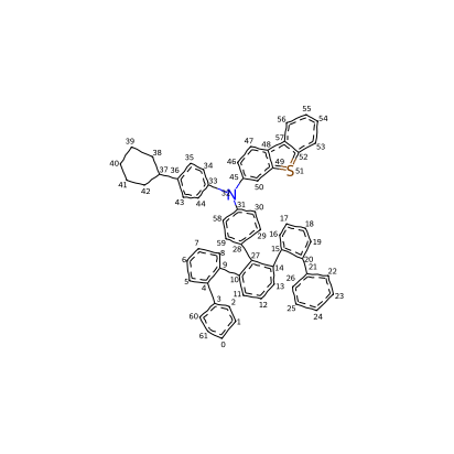 c1ccc(-c2ccccc2-c2cccc(-c3ccccc3-c3ccccc3)c2-c2ccc(N(c3ccc(C4CCCCC4)cc3)c3ccc4c(c3)sc3ccccc34)cc2)cc1